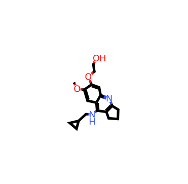 COc1cc2c(NCC3CC3)c3c(nc2cc1OCCO)CCC3